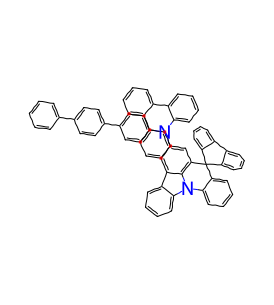 c1ccc(-c2ccc(-c3ccc(N(c4cc5c6c(c4)c4ccccc4n6-c4ccccc4C54c5ccccc5-c5ccccc54)c4ccccc4-c4ccccc4-c4ccccc4)cc3)cc2)cc1